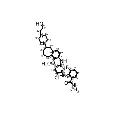 CNC(=O)c1cccc(F)c1Nc1nc(Nc2ccc3c(c2OC)CCCC(N2CCN(CCO)CC2)C3)ncc1Cl